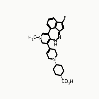 CN1C=C2C(=C(C3=CCN([C@H]4CC[C@@H](C(=O)O)CC4)CC3)C1)NN=C1C=C(F)c3cccc2c31